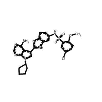 COc1ccc(Cl)cc1S(=O)(=O)Nc1ccc2nc(-c3cn(C4CCCC4)c4ncnc(N)c34)[nH]c2c1